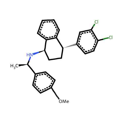 COc1ccc([C@@H](C)N[C@@H]2CC[C@@H](c3ccc(Cl)c(Cl)c3)c3ccccc32)cc1